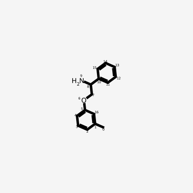 Cc1cccc(OCC(N)c2ccccc2)c1